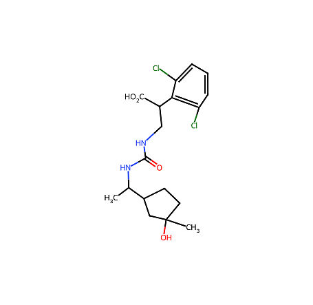 CC(NC(=O)NCC(C(=O)O)c1c(Cl)cccc1Cl)C1CCC(C)(O)C1